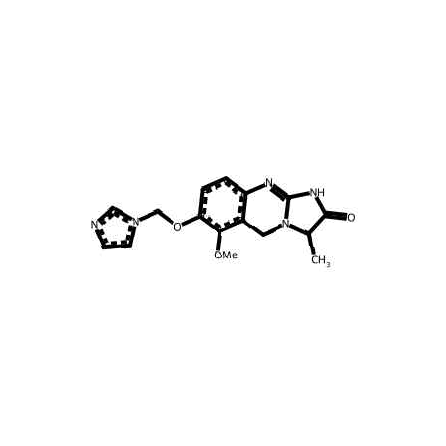 COc1c(OCn2ccnc2)ccc2c1CN1C(=N2)NC(=O)C1C